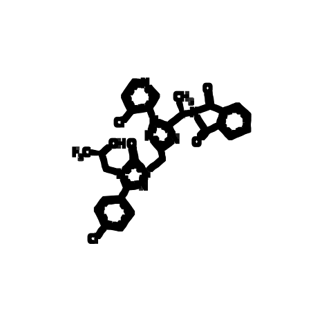 C[C@H](c1nc(Cn2nc(-c3ccc(Cl)cc3)n(C[C@H](O)C(F)(F)F)c2=O)nn1-c1cnccc1Cl)N1C(=O)c2ccccc2C1=O